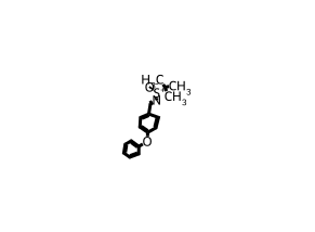 CC(C)(C)[S@+]([O-])N=Cc1ccc(Oc2ccccc2)cc1